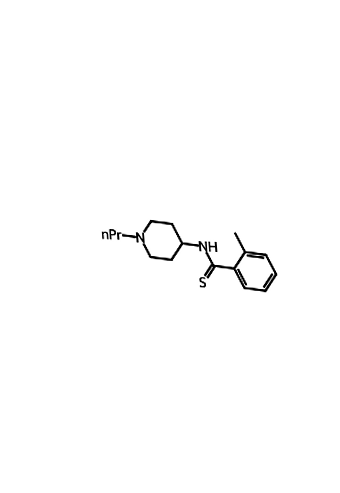 [CH2]CCN1CCC(NC(=S)c2ccccc2C)CC1